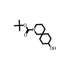 CC(C)(C)OC(=O)N1CCCC2(CCC(O)CC2)C1